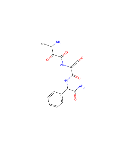 CCCC(N)C(=O)C(=O)NC(=C=O)C(=O)NC(C(N)=O)c1ccccc1